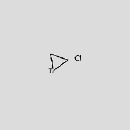 [CH2]1[CH2][Ti]1.[Cl]